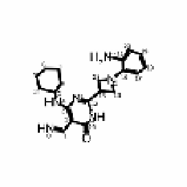 N=Cc1c(NC2CCCCC2)nc(C2CN(c3ccccc3N)C2)[nH]c1=O